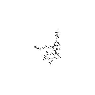 COC(=O)C1OC(OC(=O)Nc2ccc(CO[Si](C)(C)C(C)(C)C)cc2OCCOCCN=[N+]=[N-])C(OC(C)=O)C(OC(C)=O)C1OC(C)=O